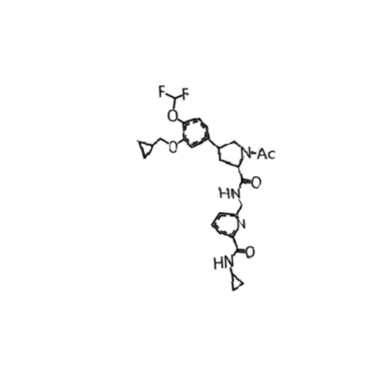 CC(=O)N1CC(c2ccc(OC(F)F)c(OCC3CC3)c2)C[C@@H]1C(=O)NCc1cccc(C(=O)NC2CC2)n1